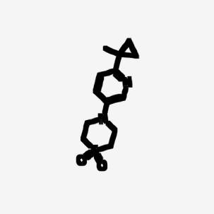 CC1(c2ccc(N3CCS(=O)(=O)CC3)cn2)CC1